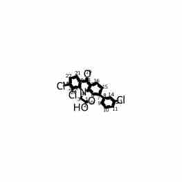 O=C(O)Cn1c2cc(-c3cccc(Cl)c3)ccc2c(=O)c2ccc(Cl)c(Cl)c21